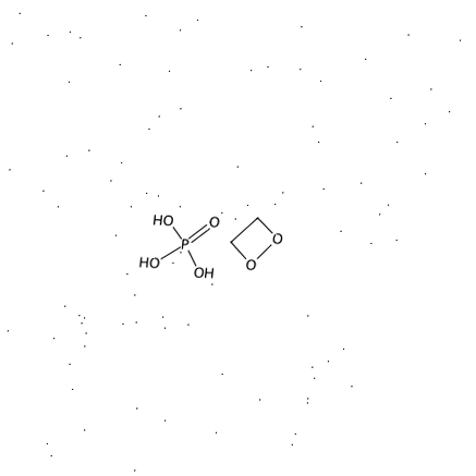 C1COO1.O=P(O)(O)O